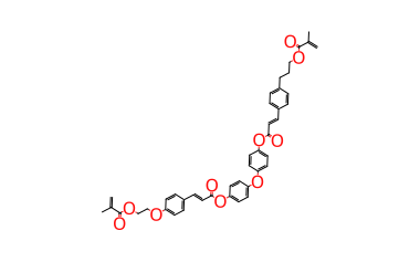 C=C(C)C(=O)OCCCc1ccc(/C=C/C(=O)Oc2ccc(Oc3ccc(OC(=O)/C=C/c4ccc(OCCOC(=O)C(=C)C)cc4)cc3)cc2)cc1